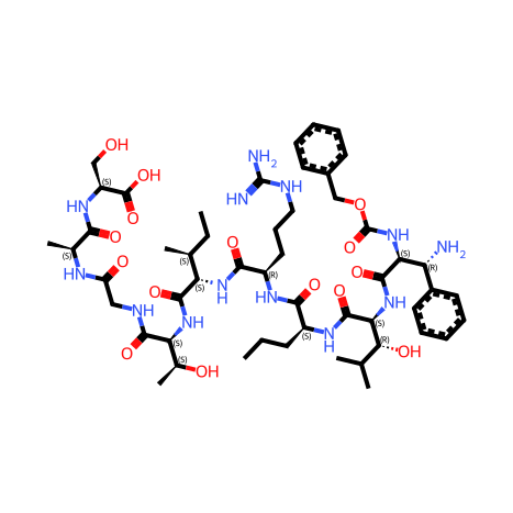 CCC[C@H](NC(=O)[C@@H](NC(=O)[C@@H](NC(=O)OCc1ccccc1)[C@H](N)c1ccccc1)[C@H](O)C(C)C)C(=O)N[C@H](CCCNC(=N)N)C(=O)N[C@H](C(=O)N[C@H](C(=O)NCC(=O)N[C@@H](C)C(=O)N[C@@H](CO)C(=O)O)[C@H](C)O)[C@@H](C)CC